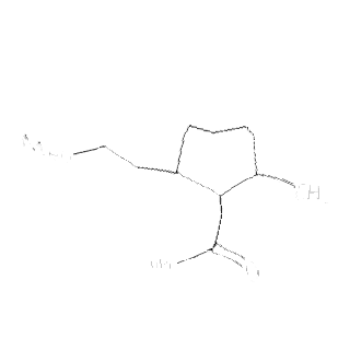 CCCC(=O)C1C(C)CCC1CCOC